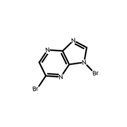 Brc1cnc2ncn(Br)c2n1